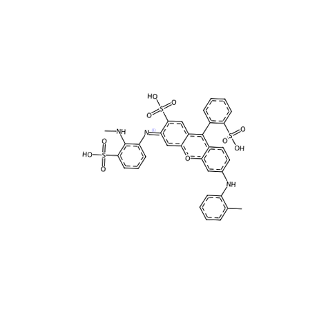 CNc1c(/N=c2\cc3oc4cc(Nc5ccccc5C)ccc4c(-c4ccccc4S(=O)(=O)O)c-3cc2S(=O)(=O)O)cccc1S(=O)(=O)O